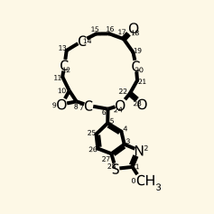 Cc1nc2cc(C3CC4OC4CCCCCCC(=O)CCCC(=O)O3)ccc2s1